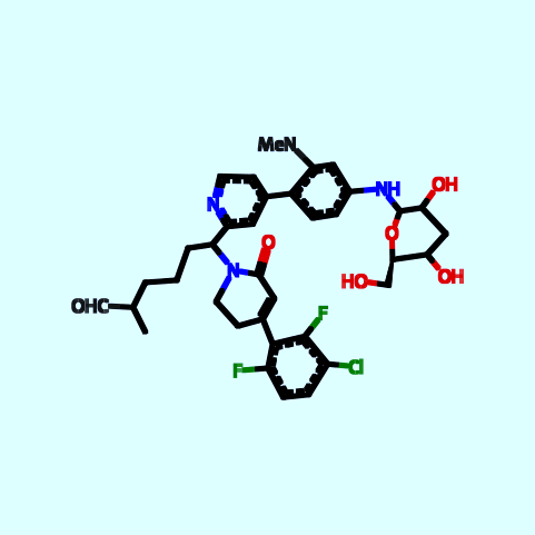 CNc1cc(NC2O[C@H](CO)C(O)CC2O)ccc1-c1ccnc(C(CCCC(C)C=O)N2CCC(c3c(F)ccc(Cl)c3F)=CC2=O)c1